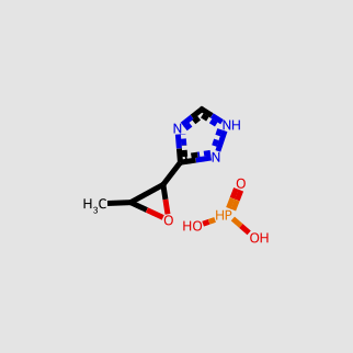 CC1OC1c1nc[nH]n1.O=[PH](O)O